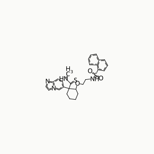 CNC(=S)C1(c2ccc3nccn3c2)CCCCC1OCCNS(=O)(=O)c1cccc2ccccc12